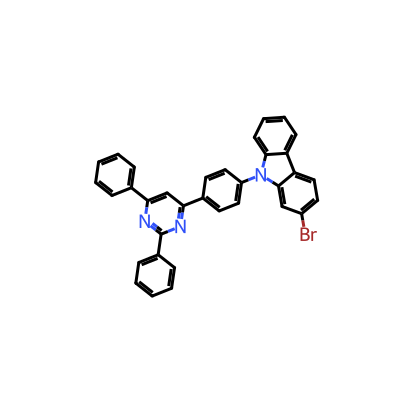 Brc1ccc2c3ccccc3n(-c3ccc(-c4cc(-c5ccccc5)nc(-c5ccccc5)n4)cc3)c2c1